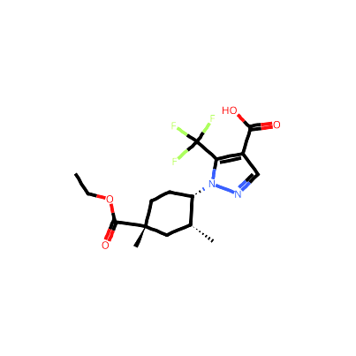 CCOC(=O)[C@]1(C)CC[C@H](n2ncc(C(=O)O)c2C(F)(F)F)[C@H](C)C1